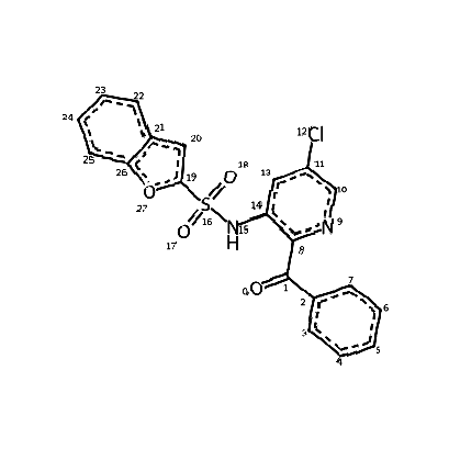 O=C(c1ccccc1)c1ncc(Cl)cc1NS(=O)(=O)c1cc2ccccc2o1